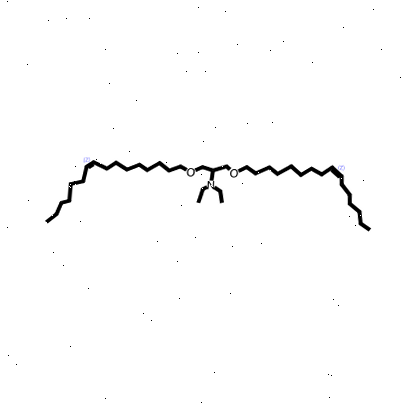 CCCCCC/C=C\CCCCCCCCOCC(COCCCCCCCC/C=C\CCCCCC)N(CC)CC